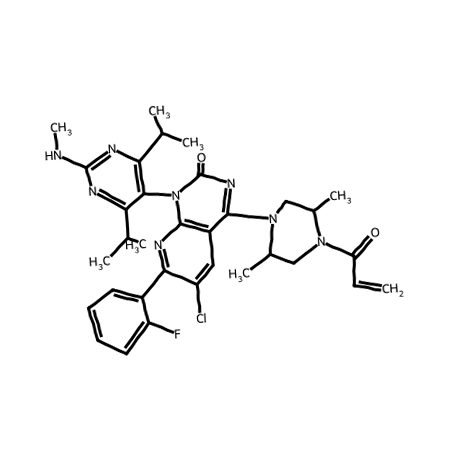 C=CC(=O)N1CC(C)N(c2nc(=O)n(-c3c(C(C)C)nc(NC)nc3C(C)C)c3nc(-c4ccccc4F)c(Cl)cc23)CC1C